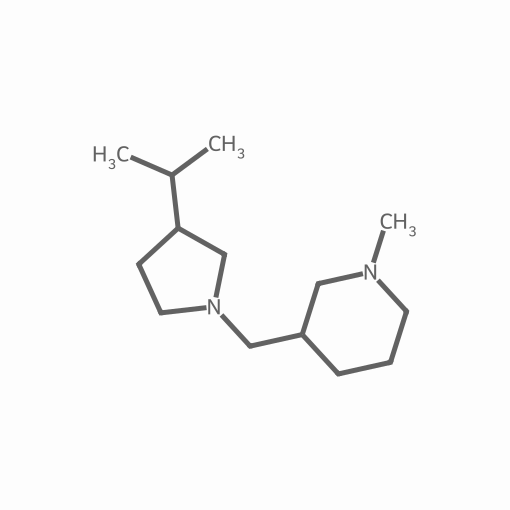 CC(C)C1CCN(CC2CCCN(C)C2)C1